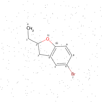 CCC1Cc2cc(Br)ccc2O1